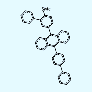 CSc1ccc(-c2c3ccccc3c(-c3ccc(-c4ccccc4)cc3)c3ccccc23)cc1-c1ccccc1